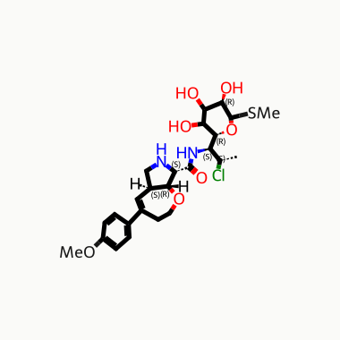 COc1ccc(C2=C[C@H]3CN[C@H](C(=O)N[C@H]([C@H](C)Cl)[C@H]4OC(SC)[C@H](O)C(O)C4O)[C@@H]3OCC2)cc1